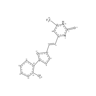 O=c1nc(C=Cc2ccc(-c3ccccc3C(F)(F)F)o2)cc(C(F)(F)F)[nH]1